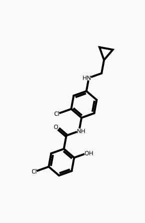 O=C(Nc1ccc(NCC2CC2)cc1Cl)c1cc(Cl)ccc1O